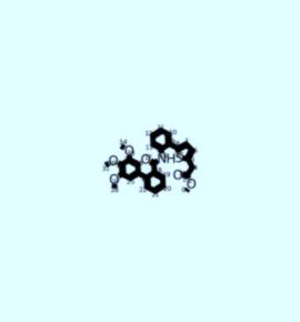 COC(=O)Cc1ccc(-c2ccccc2NC(=O)c2ccccc2-c2cc(OC)c(OC)c(OC)c2)s1